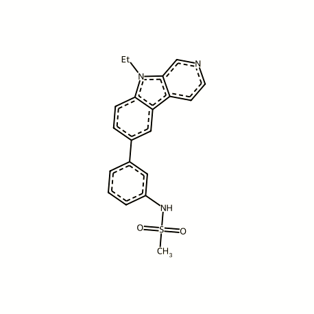 CCn1c2ccc(-c3cccc(NS(C)(=O)=O)c3)cc2c2ccncc21